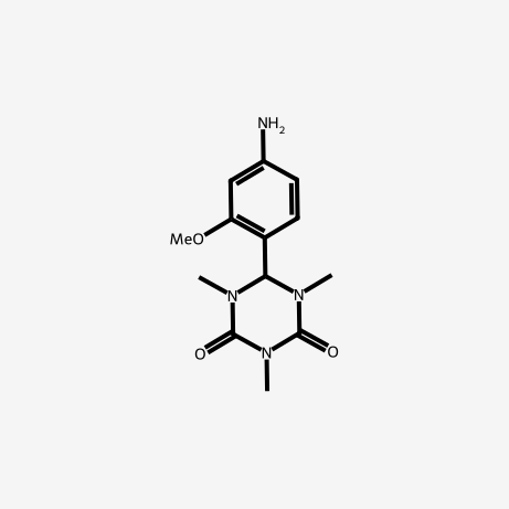 COc1cc(N)ccc1C1N(C)C(=O)N(C)C(=O)N1C